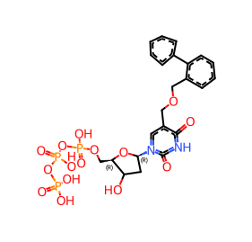 O=c1[nH]c(=O)n([C@H]2CC(O)[C@@H](COP(=O)(O)OP(=O)(O)OP(=O)(O)O)O2)cc1COCc1ccccc1-c1ccccc1